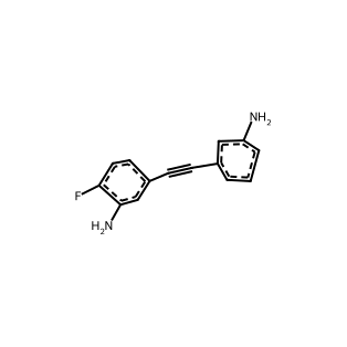 Nc1cccc(C#Cc2ccc(F)c(N)c2)c1